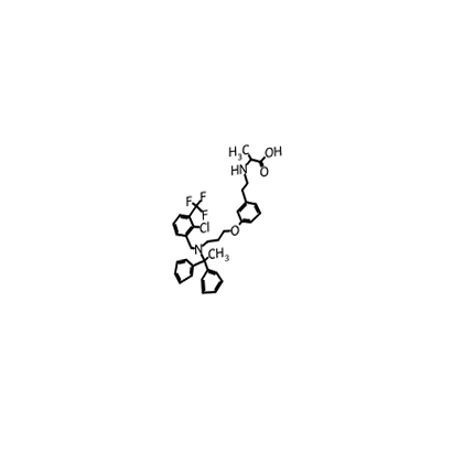 CC(NCCc1cccc(OCCCN(Cc2cccc(C(F)(F)F)c2Cl)C(C)(c2ccccc2)c2ccccc2)c1)C(=O)O